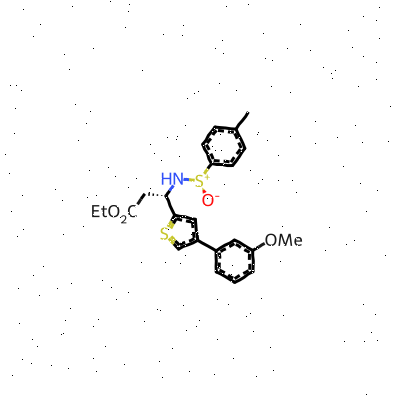 CCOC(=O)C[C@H](N[S@+]([O-])c1ccc(C)cc1)c1cc(-c2cccc(OC)c2)cs1